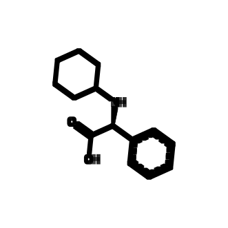 O=C(O)[C@@H](NC1CCCCC1)c1ccccc1